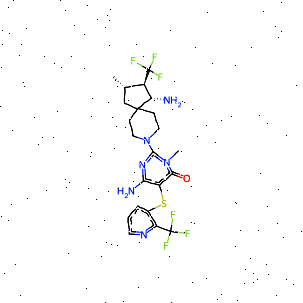 C[C@H]1CC2(CCN(c3nc(N)c(Sc4cccnc4C(F)(F)F)c(=O)n3C)CC2)[C@@H](N)[C@@H]1C(F)(F)F